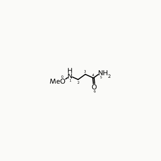 CONCCC(N)=O